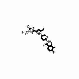 Cn1nc(-c2cc(CF)n(-c3ccc(NC(=O)c4ccc(F)c(F)c4F)nc3)n2)oc1=O